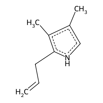 C=CCc1[nH]cc(C)c1C